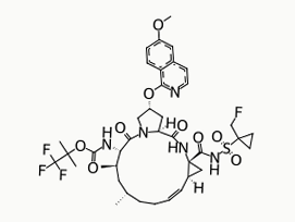 COc1ccc2c(O[C@@H]3C[C@H]4C(=O)N[C@]5(C(=O)NS(=O)(=O)C6(CF)CC6)C[C@H]5/C=C\CC[C@H](C)C[C@@H](C)[C@H](NC(=O)OC(C)(C)C(F)(F)F)C(=O)N4C3)nccc2c1